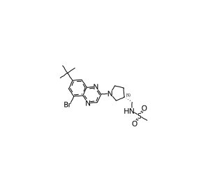 CC(C)(C)c1cc(Br)c2ncc(N3CC[C@H](CNS(C)(=O)=O)C3)nc2c1